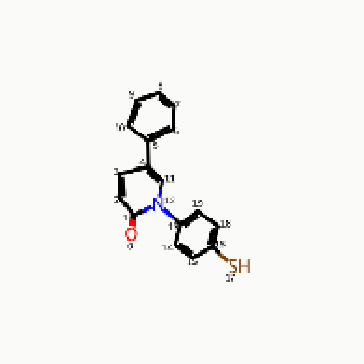 O=c1ccc(-c2ccccc2)cn1-c1ccc(S)cc1